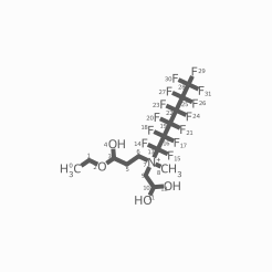 CCOC(O)CC[N+](C)(CC(O)O)C(F)(F)C(F)(F)C(F)(F)C(F)(F)C(F)(F)C(F)(F)F